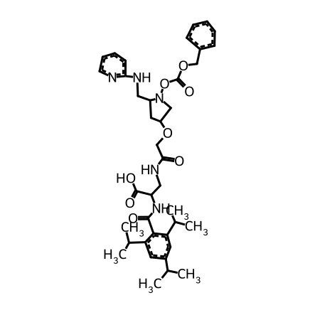 CC(C)c1cc(C(C)C)c(C(=O)NC(CNC(=O)COC2CC(CNc3ccccn3)N(OC(=O)OCc3ccccc3)C2)C(=O)O)c(C(C)C)c1